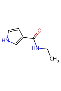 CCNC(=O)c1cc[nH]c1